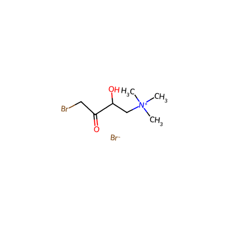 C[N+](C)(C)CC(O)C(=O)CBr.[Br-]